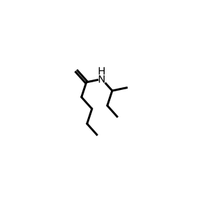 C=C(CCCC)NC(C)CC